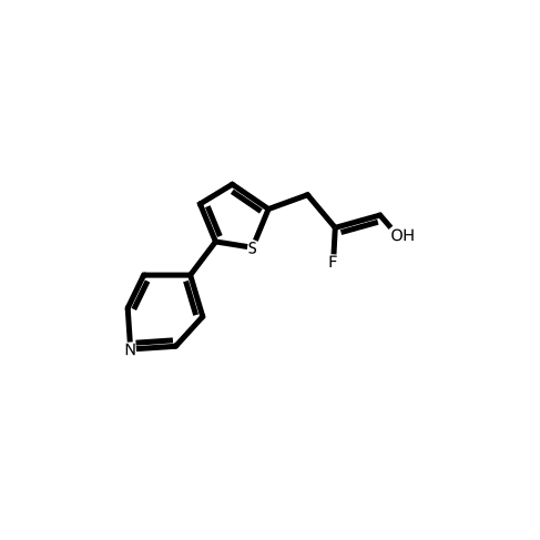 O/C=C(\F)Cc1ccc(-c2ccncc2)s1